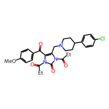 CCC(=O)n1c(CN2CCC(c3ccc(Cl)cc3)CC2)c(C(=O)c2ccc(OC)cc2)n(C(=O)CC)c1=O